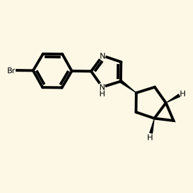 Brc1ccc(-c2ncc([C@H]3C[C@@H]4C[C@@H]4C3)[nH]2)cc1